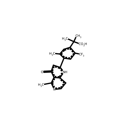 Cc1cc(C(C)(C)C(=O)O)c(C(F)(F)F)cc1-c1cc(=O)c2c(C)nccc2[nH]1